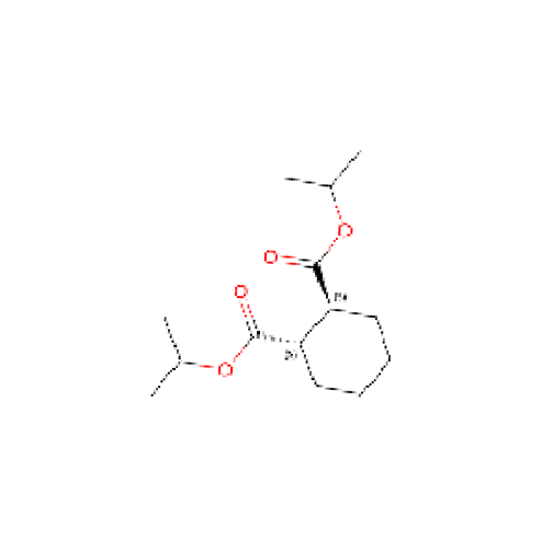 CC(C)OC(=O)[C@H]1CCCC[C@@H]1C(=O)OC(C)C